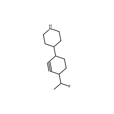 CC(F)C1C#CC(C2CCNCC2)CC1